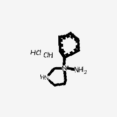 Cl.Cl.N[N+]1(c2ccccc2)CCNC1